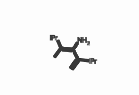 C=C(/C(N)=C(\C)C(C)C)C(C)C